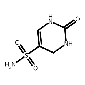 NS(=O)(=O)C1=CNC(=O)NC1